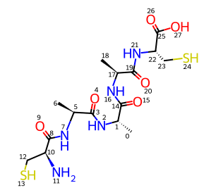 C[C@H](NC(=O)[C@H](C)NC(=O)[C@@H](N)CS)C(=O)N[C@@H](C)C(=O)N[C@@H](CS)C(=O)O